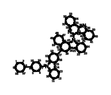 c1ccc(-c2ccc(-n3c4ccccc4c4cc(-c5cc6c7ccccc7n(-c7nc8ccccc8c8nc9ccccc9n78)c6c6ccccc56)ccc43)cc2)cc1